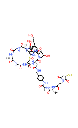 CC[C@H](C)C1NC(=O)CNC(=O)[C@H]2Cc3c([nH]c4ccccc34)[S+]([O-])C[C@H](NC(=O)CNC1=O)C(=O)N[C@@H](CC(=O)NCc1ccc(NC(=O)[C@H](C)NC(=O)[C@@H](NC(=O)CCN3C(=O)CC(S)C3=O)C(C)C)cc1)C(=O)N1C[C@H](O)C[C@H]1C(=O)N[C@@H]([C@@H](C)[C@@H](O)CO)C(=O)N2